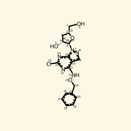 OC[C@@H]1C[C@@H](O)[C@H](n2ncc3c(NOCc4ccccc4)nc(Cl)nc32)O1